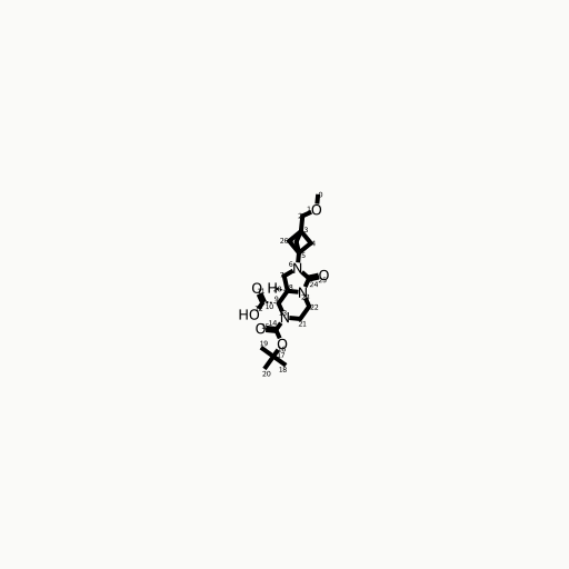 COCC12CC(N3C[C@@H]4[C@@H](C(=O)O)N(C(=O)OC(C)(C)C)CCN4C3=O)(C1)C2